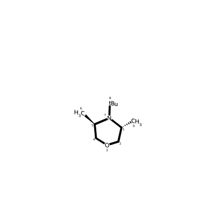 C[C@@H]1COC[C@@H](C)N1C(C)(C)C